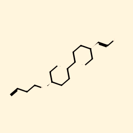 C=CCCO[C@H]1CC[C@H]([C@H]2CC[C@H](C=CCCC)CC2)CC1